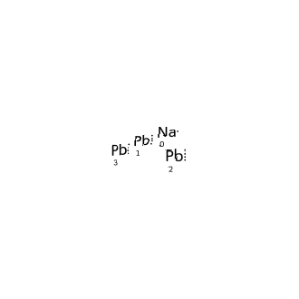 [Na].[Pb].[Pb].[Pb]